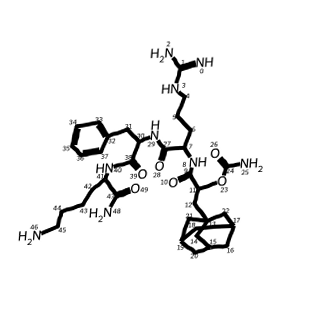 N=C(N)NCCCC(NC(=O)C(CC12CC3CC(CC(C3)C1)C2)OC(N)=O)C(=O)NC(Cc1ccccc1)C(=O)NC(CCCCN)C(N)=O